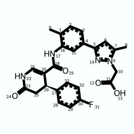 Cc1ccc(-c2cc(C)n(CC(=O)O)n2)cc1NC(=O)C1=CNC(=O)C[C@@H]1c1ccc(F)cc1